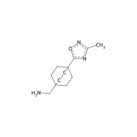 Cc1noc(C23CCC(CN)(CC2)CC3)n1